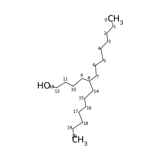 CCCCCCCCC(CCCCO)CCCCCCC